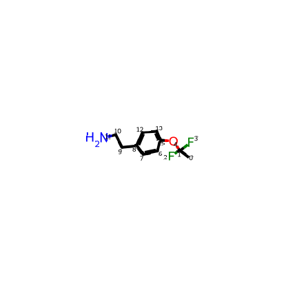 CC(F)(F)Oc1ccc(CCN)cc1